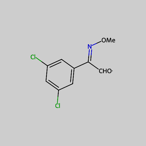 CON=C([C]=O)c1cc(Cl)cc(Cl)c1